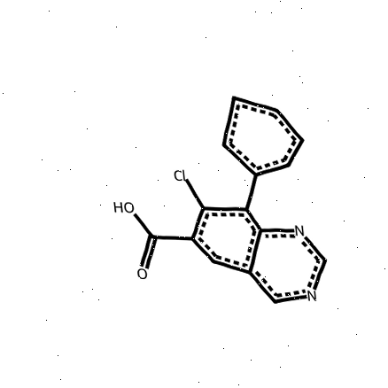 O=C(O)c1cc2cncnc2c(-c2ccccc2)c1Cl